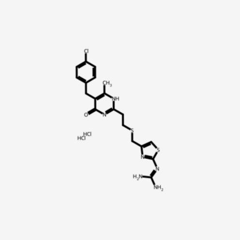 Cc1[nH]c(CCSCc2csc(N=C(N)N)n2)nc(=O)c1Cc1ccc(Cl)cc1.Cl.Cl